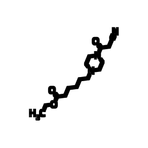 CCOC(=O)CCCCCN1CCN(C(=O)CC#N)CC1